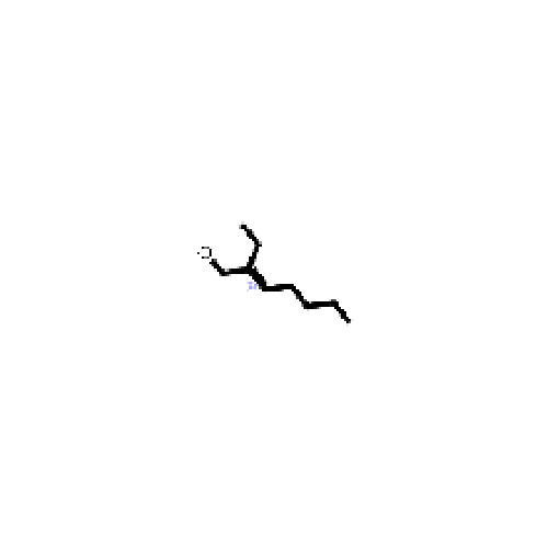 CCCC/C=C(\CC)C[O]